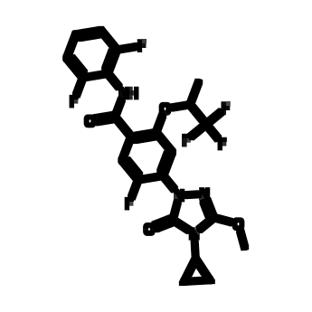 COc1nn(-c2cc(OC(C)C(F)(F)F)c(C(=O)Nc3c(F)cccc3F)cc2F)c(=O)n1C1CC1